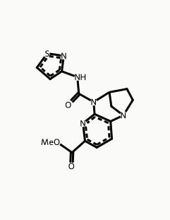 COC(=O)c1ccc2c(n1)N(C(=O)Nc1ccsn1)C1CCN2C1